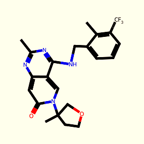 Cc1nc(NCc2cccc(C(F)(F)F)c2C)c2cn(C3(C)CCOC3)c(=O)cc2n1